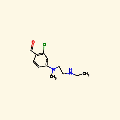 CCNCCN(C)c1ccc(C=O)c(Cl)c1